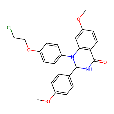 COc1ccc(C2NC(=O)c3ccc(OC)cc3N2c2ccc(OCCCl)cc2)cc1